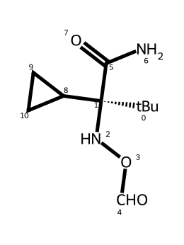 CC(C)(C)[C@@](NOC=O)(C(N)=O)C1CC1